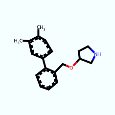 Cc1ccc(-c2ccccc2COC2CCNC2)cc1C